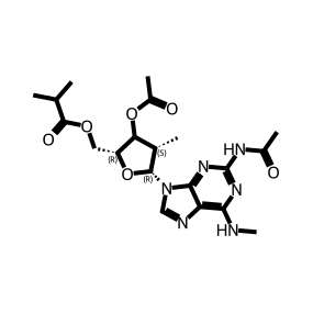 CNc1nc(NC(C)=O)nc2c1ncn2[C@@H]1O[C@H](COC(=O)C(C)C)C(OC(C)=O)[C@@H]1C